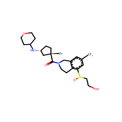 CC(C)[C@]1(C(=O)N2CCc3c(cc(C(F)(F)F)cc3[S+]([O-])CCO)C2)CC[C@@H](NC2CCOCC2)C1